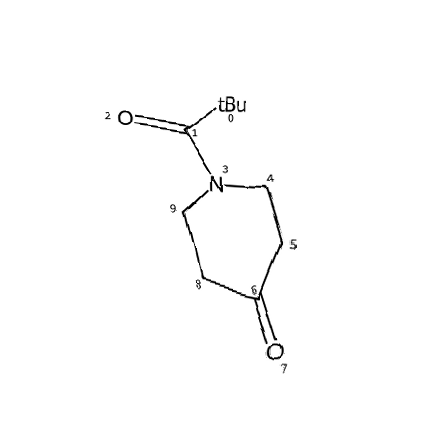 CC(C)(C)C(=O)N1CCC(=O)CC1